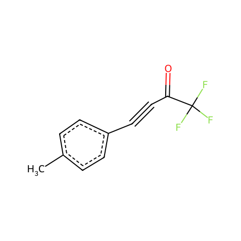 Cc1ccc(C#CC(=O)C(F)(F)F)cc1